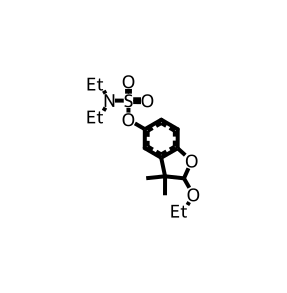 CCOC1Oc2ccc(OS(=O)(=O)N(CC)CC)cc2C1(C)C